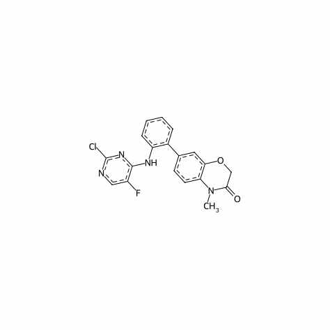 CN1C(=O)COc2cc(-c3ccccc3Nc3nc(Cl)ncc3F)ccc21